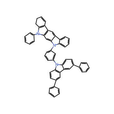 C1=Cc2c(n(-c3ccccc3)c3cc4c(cc23)c2ccccc2n4-c2cccc(-n3c4ccc(-c5ccccc5)cc4c4cc(-c5ccccc5)ccc43)c2)CC1